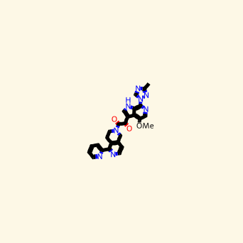 COc1cnc(-n2cnc(C)n2)c2[nH]cc(C(=O)C(=O)N3CCc4c(ccnc4-c4ccccn4)C3)c12